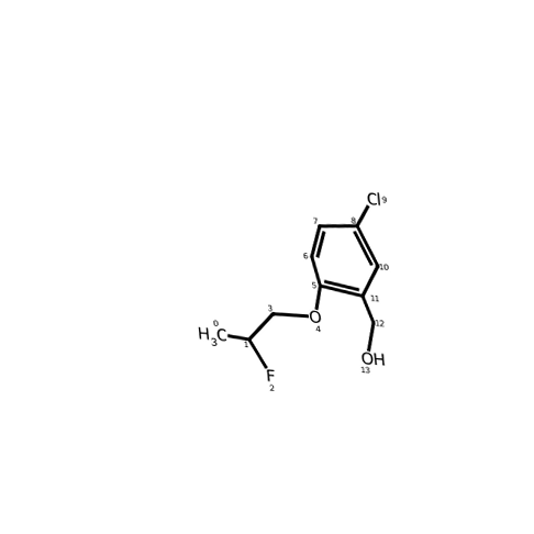 CC(F)COc1ccc(Cl)cc1CO